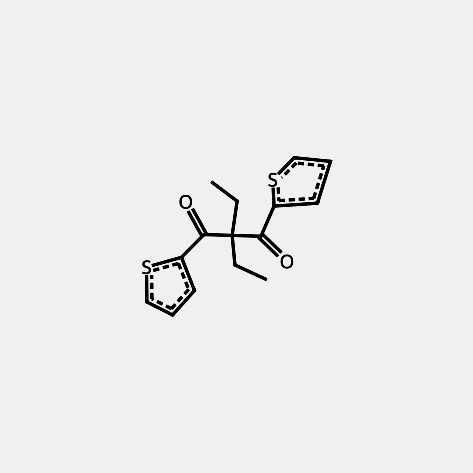 CCC(CC)(C(=O)c1cccs1)C(=O)c1cccs1